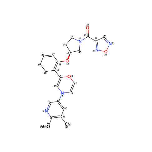 COc1ncc(N2C=COC(C3=C(O[C@H]4CCN(C(=O)c5cnon5)C4)C=CCC3)=C2)cc1C#N